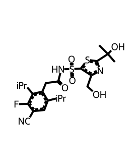 CC(C)c1cc(C#N)c(F)c(C(C)C)c1CC(=O)NS(=O)(=O)c1sc(C(C)(C)O)nc1CO